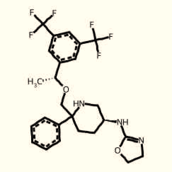 C[C@@H](OCC1(c2ccccc2)CC[C@H](NC2=NCCO2)CN1)c1cc(C(F)(F)F)cc(C(F)(F)F)c1